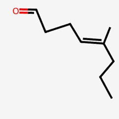 CCCC(C)=CCCC=O